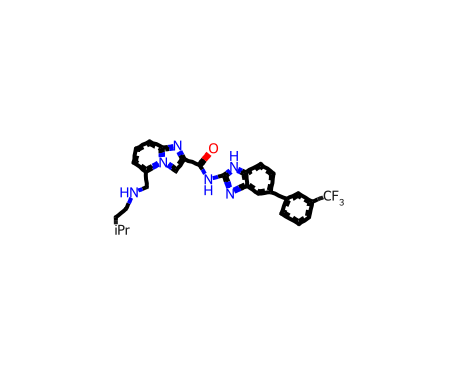 CC(C)CCNCc1cccc2nc(C(=O)Nc3nc4cc(-c5cccc(C(F)(F)F)c5)ccc4[nH]3)cn12